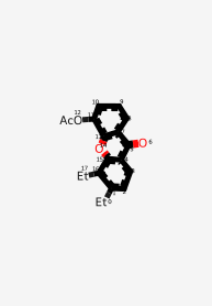 CCc1ccc2c(=O)c3cccc(OC(C)=O)c3oc2c1CC